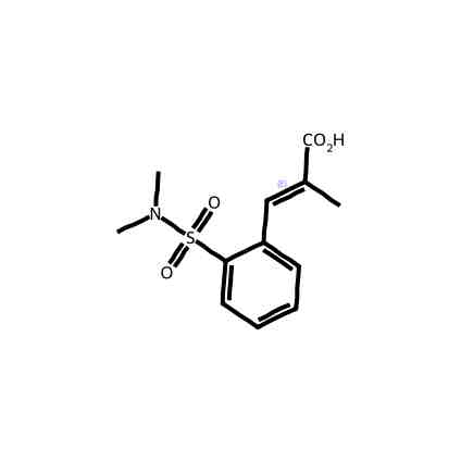 C/C(=C\c1ccccc1S(=O)(=O)N(C)C)C(=O)O